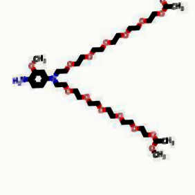 COc1cc(N(CCOCCOCCOCCOCCOCCOC(C)OC)CCOCCOCCOCCOCCOCCOC(C)OC)ccc1N